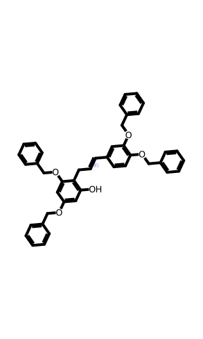 Oc1cc(OCc2ccccc2)cc(OCc2ccccc2)c1C/C=C/c1ccc(OCc2ccccc2)c(OCc2ccccc2)c1